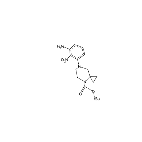 CC(C)(C)OC(=O)N1CCN(c2cccc(N)c2[N+](=O)[O-])CC12CC2